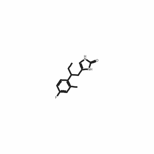 CCC(Cc1c[nH]c(=O)[nH]1)c1ccc(F)cc1C